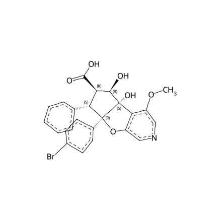 COc1cncc2c1[C@]1(O)[C@H](O)[C@H](C(=O)O)[C@@H](c3ccccc3)[C@]1(c1ccc(Br)cc1)O2